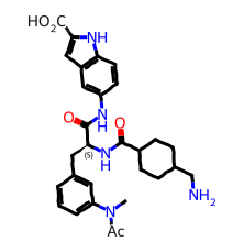 CC(=O)N(C)c1cccc(C[C@H](NC(=O)C2CCC(CN)CC2)C(=O)Nc2ccc3[nH]c(C(=O)O)cc3c2)c1